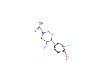 COc1ccc(C2CCN(C(=O)O)CC2F)cc1F